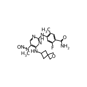 Cc1cc(C(N)=O)c(F)cc1Nc1ncc(N(C)N=O)c(NC2CC3(COC3)C2)n1